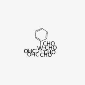 O=[CH][W]([CH]=O)([CH]=O)([CH]=O)([CH]=O)([CH]=O)[c]1ccccc1